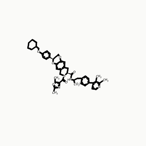 Cc1nc(C(=O)N2Cc3cc4c(cc3C[C@H]2C(=O)NC(Cc2ccc(-c3ccnc(C)c3C)cc2)C(=O)O)OC[C@H](c2ccc(OCC3CCCCC3)cc2)O4)c(C)o1